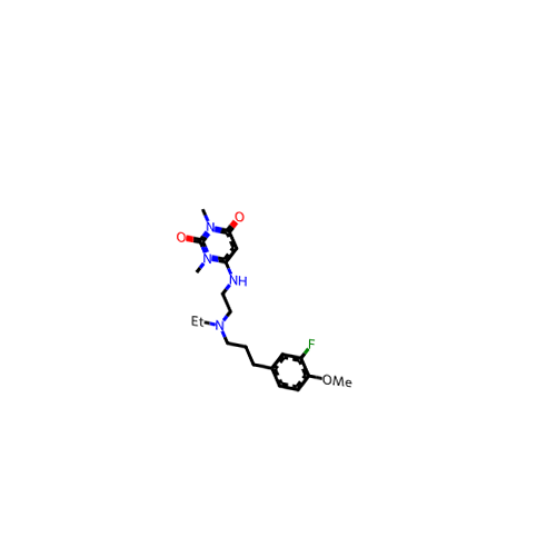 CCN(CCCc1ccc(OC)c(F)c1)CCNc1cc(=O)n(C)c(=O)n1C